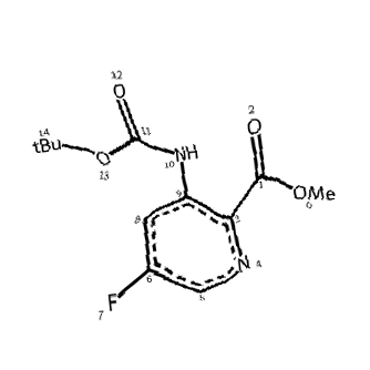 COC(=O)c1ncc(F)cc1NC(=O)OC(C)(C)C